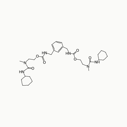 CN(CCOC(=O)NCc1cccc(CNC(=O)OCCN(C)C(=O)NC2CCCCC2)c1)C(=O)NC1CCCCC1